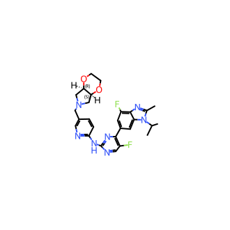 Cc1nc2c(F)cc(-c3nc(Nc4ccc(CN5C[C@@H]6OCCO[C@@H]6C5)cn4)ncc3F)cc2n1C(C)C